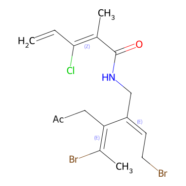 C=C/C(Cl)=C(\C)C(=O)NCC(=C/CBr)/C(CC(C)=O)=C(\C)Br